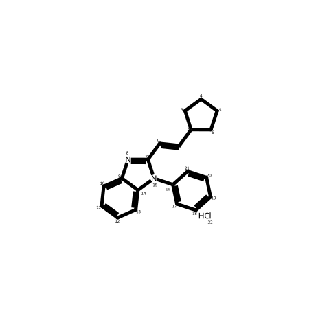 C(=C\C1CCCC1)/c1nc2ccccc2n1-c1ccccc1.Cl